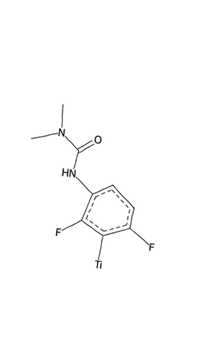 CN(C)C(=O)Nc1ccc(F)[c]([Ti])c1F